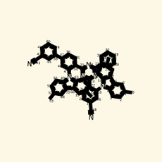 Cc1ccc2c(c1)c1cc(C)ccc1n2-c1cc(C#N)ccc1-c1nc(-c2ccccc2)nc(-c2ccc(-c3cccc(C#N)c3)cc2-n2c3ccc(C)cc3c3cc(C)ccc32)n1